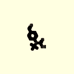 CC(C)(C)N(C(=O)O)c1ccc(C=O)cc1